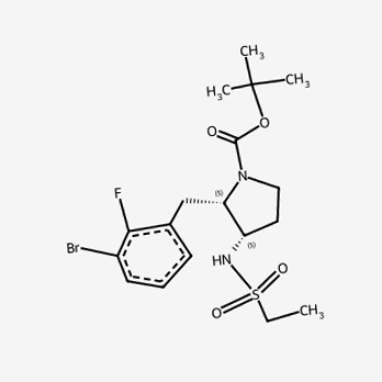 CCS(=O)(=O)N[C@H]1CCN(C(=O)OC(C)(C)C)[C@H]1Cc1cccc(Br)c1F